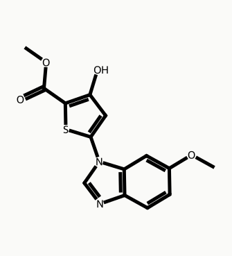 COC(=O)c1sc(-n2cnc3ccc(OC)cc32)cc1O